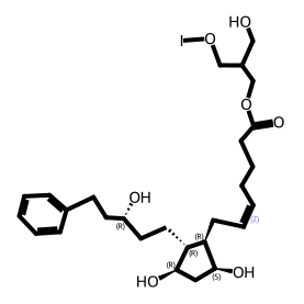 O=C(CCC/C=C\C[C@@H]1[C@@H](CC[C@@H](O)CCc2ccccc2)[C@H](O)C[C@@H]1O)OCC(CO)COI